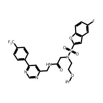 CC(C)OCCN(CC(=O)NCc1cc(-c2ccc(C(F)(F)F)cc2)ncn1)S(=O)(=O)c1cc2cc(F)ccc2o1